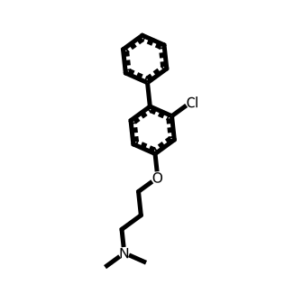 CN(C)CCCOc1ccc(-c2ccccc2)c(Cl)c1